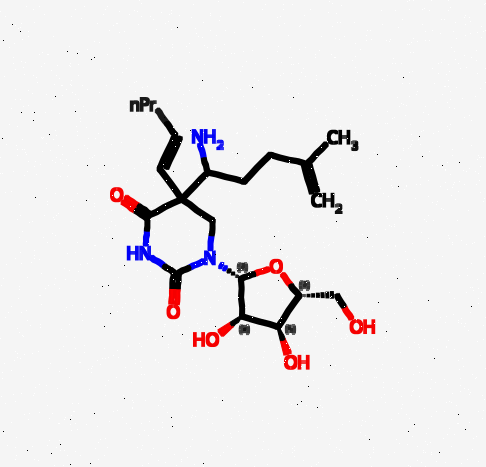 C=C(C)CCC(N)C1(C=CCCC)CN([C@@H]2O[C@H](CO)[C@@H](O)[C@H]2O)C(=O)NC1=O